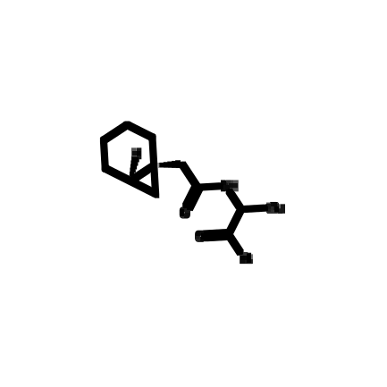 CCC(=O)C(NC(=O)C[C@@]12CCCC[C@@H]1C2)C(C)(C)C